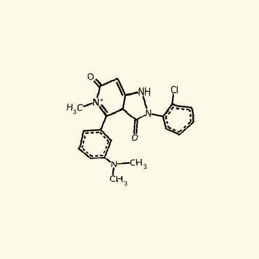 CN(C)c1cccc(C2=[N+](C)C(=O)C=C3NN(c4ccccc4Cl)C(=O)C32)c1